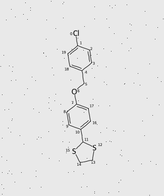 Clc1ccc(COc2ccc(C3SCCS3)cc2)cc1